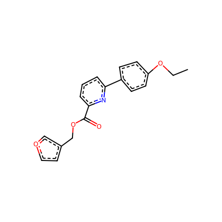 CCOc1ccc(-c2cccc(C(=O)OCc3ccoc3)n2)cc1